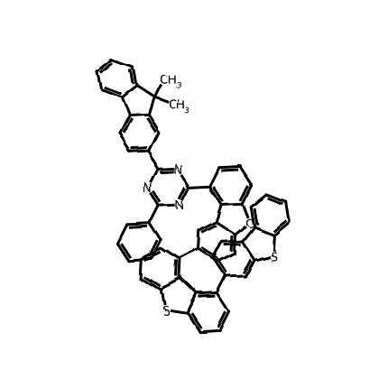 CC1(C)c2ccccc2-c2ccc(-c3nc(-c4ccccc4)nc(-c4cccc5oc6ccc(-c7cccc8sc9cccc(-c%10ccc%11c(c%10)sc%10ccccc%10%11)c9c78)cc6c45)n3)cc21